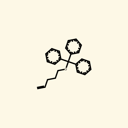 C=CCCCOC(c1ccccc1)(c1ccccc1)c1ccccc1